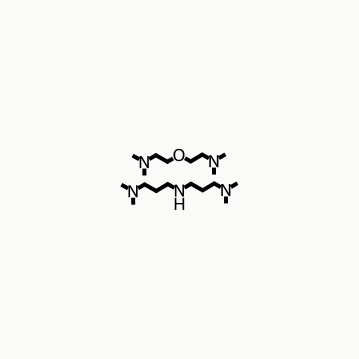 CN(C)CCCNCCCN(C)C.CN(C)CCOCCN(C)C